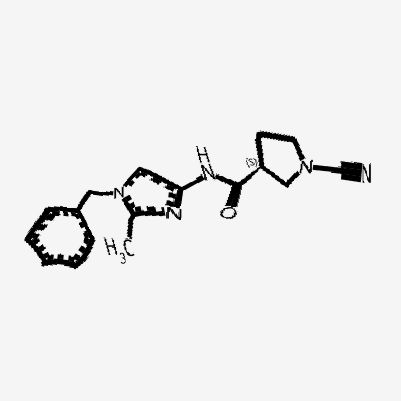 Cc1nc(NC(=O)[C@H]2CCN(C#N)C2)cn1Cc1ccccc1